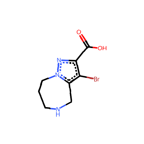 O=C(O)c1nn2c(c1Br)CNCCC2